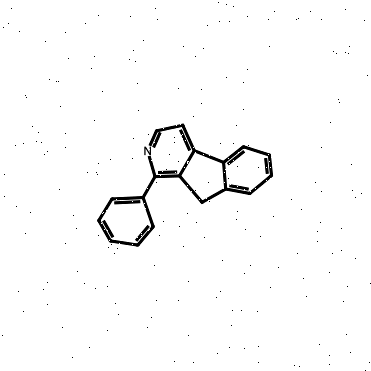 c1ccc(-c2nccc3c2Cc2ccccc2-3)cc1